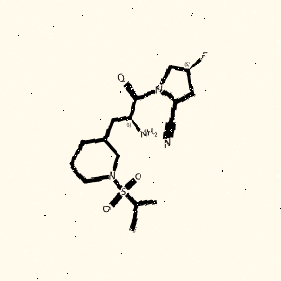 CC(C)S(=O)(=O)N1CCCC(C[C@H](N)C(=O)N2C[C@@H](F)CC2C#N)C1